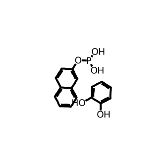 OP(O)Oc1ccc2ccccc2c1.Oc1ccccc1O